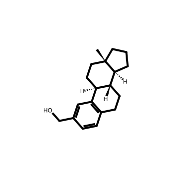 C[C@@]12CCC[C@H]1[C@@H]1CCc3ccc(CO)cc3[C@H]1CC2